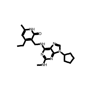 CCc1cc(C)[nH]c(=O)c1CNc1nc(NC)nc2c1ncn2C1CCCC1